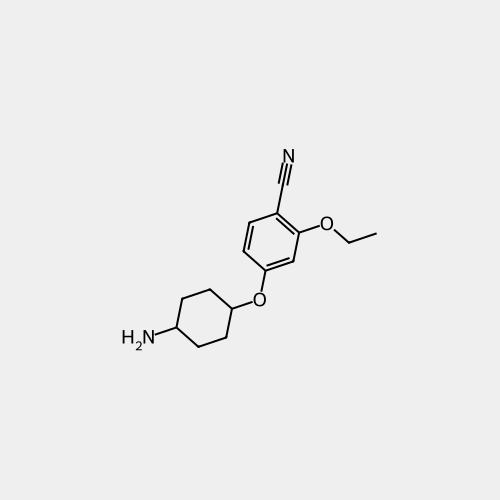 CCOc1cc(OC2CCC(N)CC2)ccc1C#N